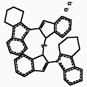 C1=C(p2c3c(c4ccccc42)CCCC3)[CH]([Ti+2][CH]2C(p3c4c(c5ccccc53)CCCC4)=Cc3ccccc32)c2ccccc21.[Cl-].[Cl-]